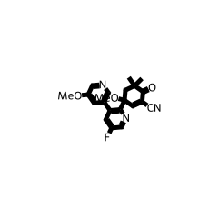 COc1cncc(-c2cc(F)cnc2C2(OC)C=C(C#N)C(=O)C(C)(C)C2)c1